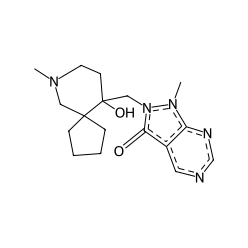 CN1CCC(O)(Cn2c(=O)c3cncnc3n2C)C2(CCCC2)C1